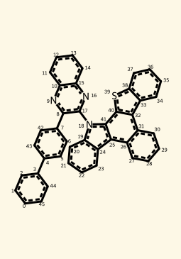 c1ccc(-c2ccc(-c3nc4ccccc4nc3-n3c4ccccc4c4c5ccccc5c5c6ccccc6sc5c43)cc2)cc1